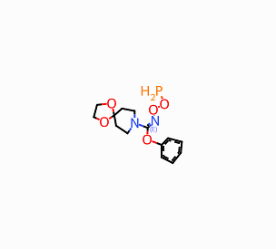 POO/N=C(/Oc1ccccc1)N1CCC2(CC1)OCCO2